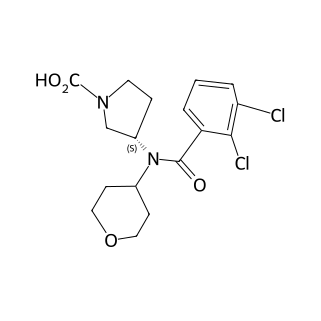 O=C(O)N1CC[C@H](N(C(=O)c2cccc(Cl)c2Cl)C2CCOCC2)C1